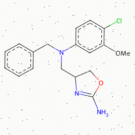 COc1cc(N(Cc2ccccc2)CC2COC(N)=N2)ccc1Cl